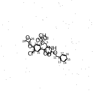 CS(=O)(=O)OC[C@@H](NC(=O)OCc1ccccc1)[C@H](O)c1ccc(OC2COC2)c(Cl)c1